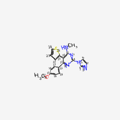 CNc1nc(-n2ccnc2)nc(-c2ccc(OC)cc2)c1-c1cccs1